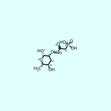 C[C@H]1O[C@H](O)[C@@H](ONC(=O)CP(=O)(O)O)C[C@H]1O